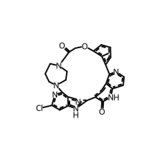 Cc1c2cccc1-c1nccc3[nH]c(=O)c(cc13)-c1nc3c(nc(Cl)cc3[nH]1)N1CCCN(CC1)C(=O)CO2